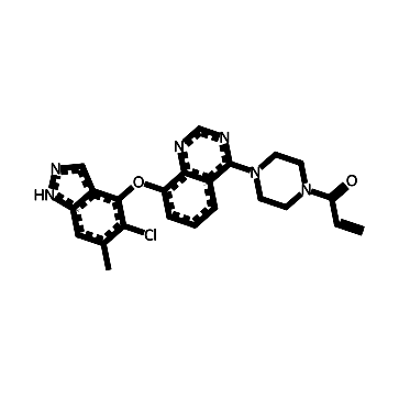 C=CC(=O)N1CCN(c2ncnc3c(Oc4c(Cl)c(C)cc5[nH]ncc45)cccc23)CC1